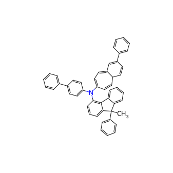 CC1(c2ccccc2)c2ccccc2-c2c(N(C3=CC=C4C=C(c5ccccc5)C=CC4C=C3)c3ccc(-c4ccccc4)cc3)cccc21